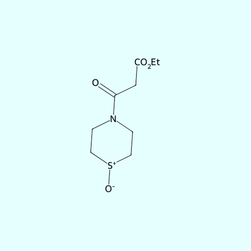 CCOC(=O)CC(=O)N1CC[S+]([O-])CC1